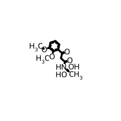 COc1cccc(C(=O)CC(=O)NC(C)(O)O)c1OC